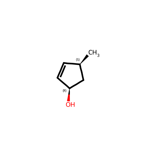 C[C@@H]1C=C[C@H](O)C1